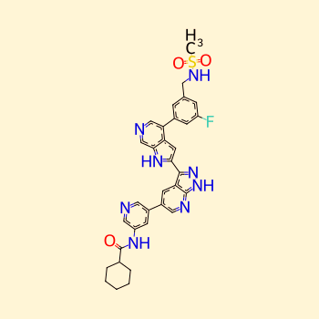 CS(=O)(=O)NCc1cc(F)cc(-c2cncc3[nH]c(-c4n[nH]c5ncc(-c6cncc(NC(=O)C7CCCCC7)c6)cc45)cc23)c1